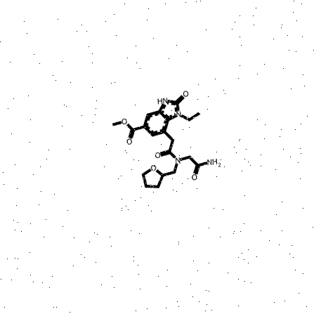 CCn1c(=O)[nH]c2cc(C(=O)OC)cc(CC(=O)N(CC(N)=O)CC3CCCO3)c21